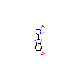 CC(=O)[C@H]1CSC(c2nc3ccc(O)cc3s2)N1